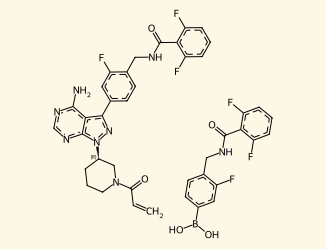 C=CC(=O)N1CCC[C@@H](n2nc(-c3ccc(CNC(=O)c4c(F)cccc4F)c(F)c3)c3c(N)ncnc32)C1.O=C(NCc1ccc(B(O)O)cc1F)c1c(F)cccc1F